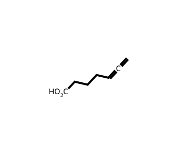 C=C=CCCCC(=O)O